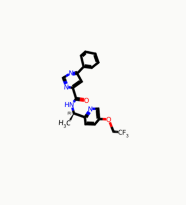 C[C@@H](NC(=O)c1cc(-c2ccccc2)ncn1)c1ccc(OCC(F)(F)F)cn1